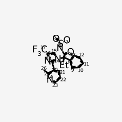 CCC(C(=O)N=S(=O)=O)(c1ccccc1)n1cc(C(F)(F)F)nc1-c1cccnc1C